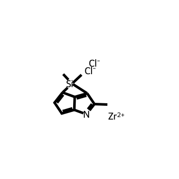 CC1=NC2=CC=C3C2=C1[Si]3(C)C.[Cl-].[Cl-].[Zr+2]